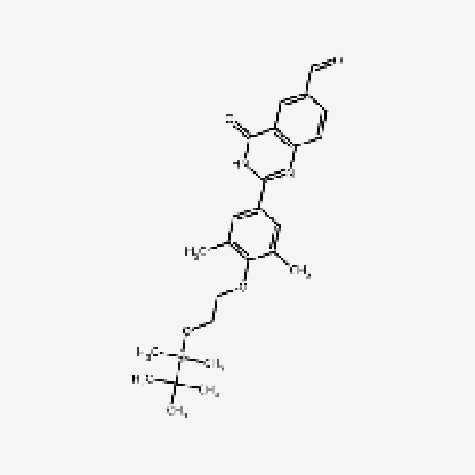 Cc1cc(-c2nc3ccc(C=O)cc3c(=O)[nH]2)cc(C)c1OCCO[Si](C)(C)C(C)(C)C